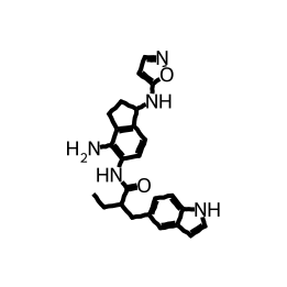 CCC(Cc1ccc2[nH]ccc2c1)C(=O)Nc1ccc2c(c1N)CCC2Nc1ccno1